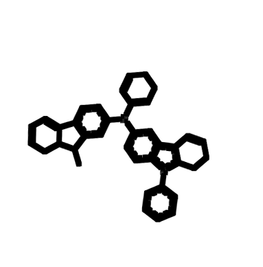 CC1c2cc(N(C3=CCCC=C3)c3ccc4c(c3)c3c(n4-c4ccccc4)CCC=C3)ccc2C2=CC=CCC21